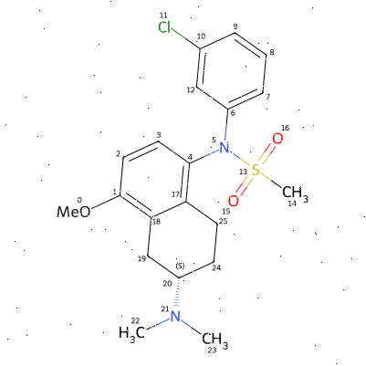 COc1ccc(N(c2cccc(Cl)c2)S(C)(=O)=O)c2c1C[C@@H](N(C)C)CC2